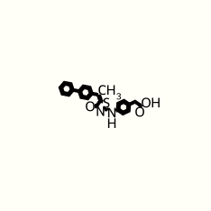 C/C(=C1\SC(Nc2ccc(CC(=O)O)cc2)=NC1=O)c1ccc(-c2ccccc2)cc1